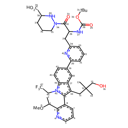 COC(C)c1ncccc1-c1c(CC(C)(C)CO)c2cc(-c3cccc(CC(NC(=O)OC(C)(C)C)C(=O)N4CCCC(C(=O)O)N4)n3)ccc2n1CC(F)(F)F